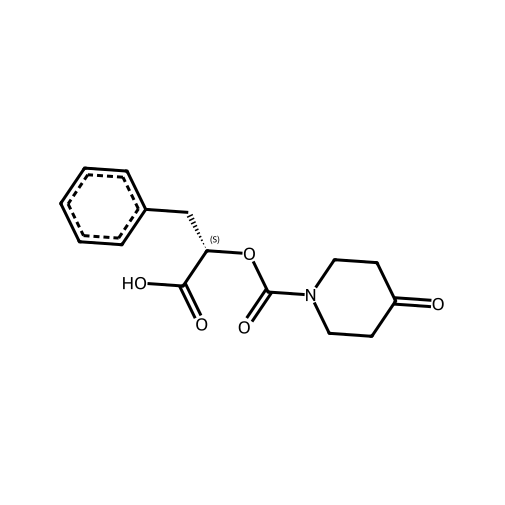 O=C1CCN(C(=O)O[C@@H](Cc2ccccc2)C(=O)O)CC1